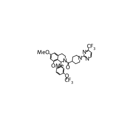 COc1cc2c(c(OC)c1)C(c1cccc(OC(F)(F)F)c1)N(C(=O)C1CCN(c3nccc(C(F)(F)F)n3)CC1)CC2